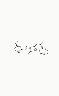 CC(CC1CN(C(C)CC2CN(C(C)C)[C@@H](C)CO2)C(C)CO1)N1CCOC(C)(C)C1